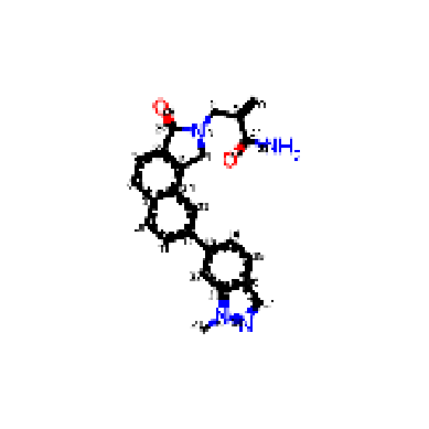 C=C(CN1Cc2c(ccc3ccc(-c4ccc5cnn(C)c5c4)cc23)C1=O)C(N)=O